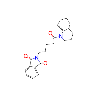 O=C(CCCCN1C(=O)c2ccccc2C1=O)N1CCCC2CCCC=C21